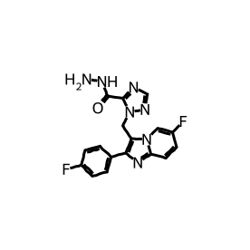 NNC(=O)c1ncnn1Cc1c(-c2ccc(F)cc2)nc2ccc(F)cn12